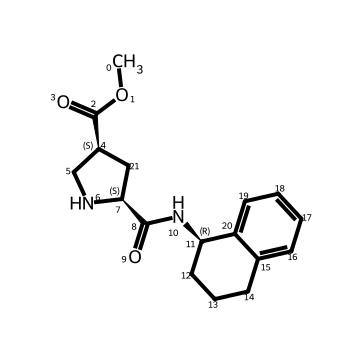 COC(=O)[C@@H]1CN[C@H](C(=O)N[C@@H]2CCCc3ccccc32)C1